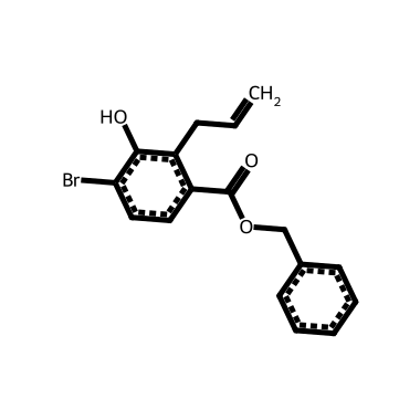 C=CCc1c(C(=O)OCc2ccccc2)ccc(Br)c1O